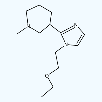 CCOCCn1ccnc1C1CCCN(C)C1